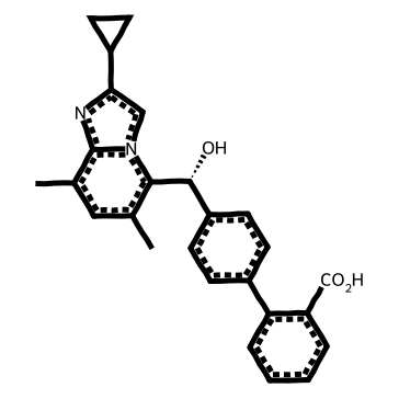 Cc1cc(C)c2nc(C3CC3)cn2c1[C@H](O)c1ccc(-c2ccccc2C(=O)O)cc1